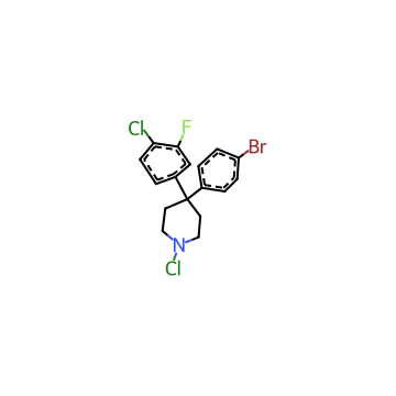 Fc1cc(C2(c3ccc(Br)cc3)CCN(Cl)CC2)ccc1Cl